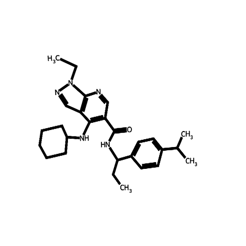 CCC(NC(=O)c1cnc2c(cnn2CC)c1NC1CCCCC1)c1ccc(C(C)C)cc1